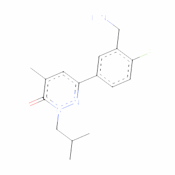 Cc1cc(-c2ccc(F)c(CN)c2)nn(CC(C)C)c1=O